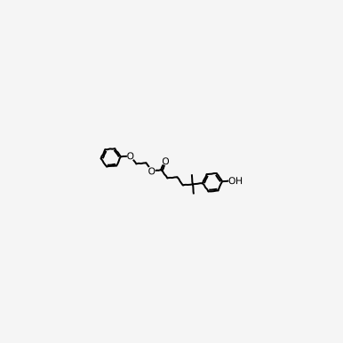 CC(C)(CCCC(=O)OCCOc1ccccc1)c1ccc(O)cc1